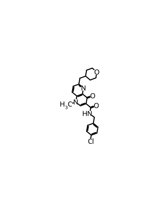 Cn1cc(C(=O)NCc2ccc(Cl)cc2)c(=O)c2nc(CC3CCOCC3)ccc21